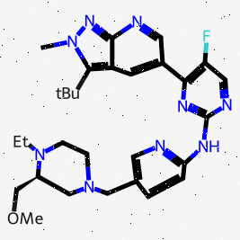 CCN1CCN(Cc2ccc(Nc3ncc(F)c(-c4cnc5nn(C)c(C(C)(C)C)c5c4)n3)nc2)C[C@H]1COC